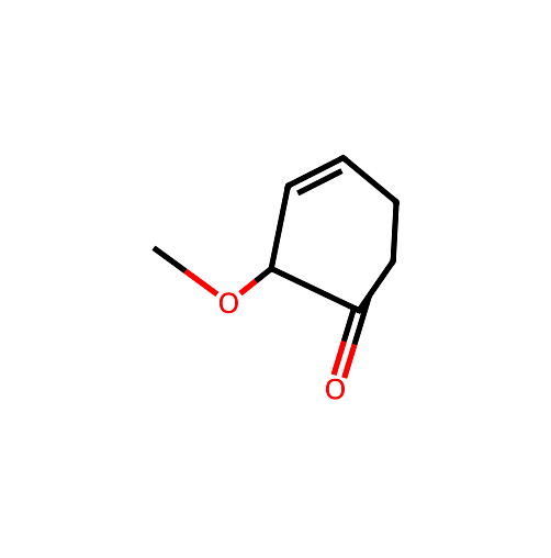 COC1C=CCCC1=O